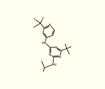 CC(C)Nc1nc(Nc2ccnc(C(F)(F)F)c2)nc(C(C)(C)C)n1